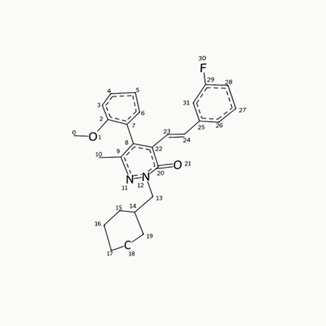 COc1ccccc1-c1c(C)nn(CC2CCCCC2)c(=O)c1/C=C/c1cccc(F)c1